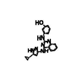 Oc1cccc(Nc2nc(Nc3cc(C4CC4)[nH]n3)c3ccccc3n2)c1